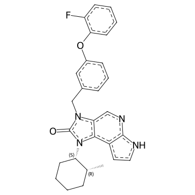 C[C@@H]1CCCC[C@@H]1n1c(=O)n(Cc2cccc(Oc3ccccc3F)c2)c2cnc3[nH]ccc3c21